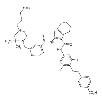 COCCCN1CCN(Cc2cccc(C(=O)Nc3sc4c(c3C(=O)Nc3cc(F)c(CCc5ccc(C(=O)O)cc5)c(F)c3)CCCC4)c2)C(C)(C)C1